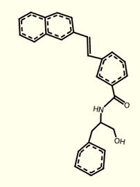 O=C(NC(CO)Cc1ccccc1)c1cccc(C=Cc2ccc3ccccc3c2)c1